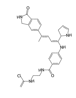 C=C(Cl)NCCNC(=O)c1ccc(N/C(=C/C=C(\C)c2ccc3c(c2)CNC3=O)C2CC=CN2)cc1